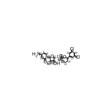 Nc1ccn([C@@H]2O[C@H](CO[P@]3(=O)OCC[C@H](c4cc(Cl)cc(Cl)c4)O3)[C@@H](O)[C@@H]2O)c(=O)n1